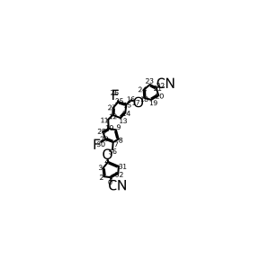 N#Cc1ccc(OCc2ccc(Cc3ccc(COc4ccc(C#N)cc4)c(F)c3)cc2F)cc1